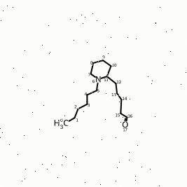 CCCCCCN1CCCCC1CCCC[C]=O